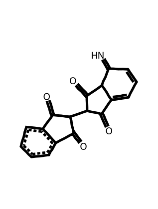 N=C1C=CC=C2C(=O)C(C3C(=O)c4ccccc4C3=O)C(=O)C12